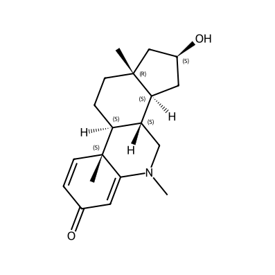 CN1C[C@H]2[C@@H]3C[C@H](O)C[C@@]3(C)CC[C@@H]2[C@@]2(C)C=CC(=O)C=C12